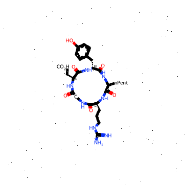 CCCCCC1NC(=O)[C@@H](Cc2ccc(O)cc2)NC(=O)[C@H](CC(=O)O)NC(=O)CNC(=O)[C@H](CCCNC(=N)N)NC1=O